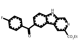 CCOC(=O)c1cc2c(cn1)[nH]c1ccc(C(=O)c3ccc(F)cc3)cc12